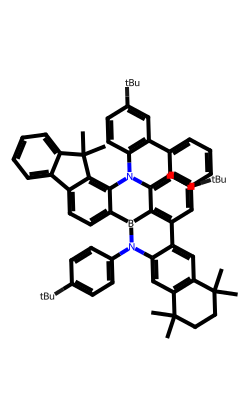 CC(C)(C)c1ccc(N2B3c4ccc5c(c4N(c4ccc(C(C)(C)C)cc4-c4ccccc4)c4cc(C(C)(C)C)cc(c43)-c3cc4c(cc32)C(C)(C)CCC4(C)C)C(C)(C)c2ccccc2-5)cc1